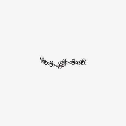 CCC1(COCOc2ccc(C(=O)Oc3ccc(-c4ccc(C(=O)Oc5ccc6ccccc6c5-c5c(OC(=O)c6ccc(-c7ccc(OC(=O)c8ccc(OCOCC9(CC)COC9)cc8)cc7)cc6)ccc6ccccc56)cc4)cc3)cc2)COC1